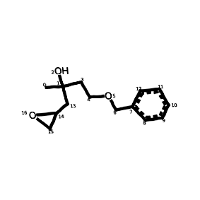 CC(O)(CCOCc1ccccc1)CC1CO1